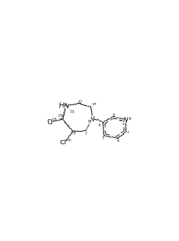 ClC1CN(c2cccnc2)CCNC1Cl